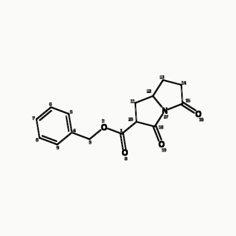 O=C(OCc1ccccc1)C1CC2CCC(=O)N2C1=O